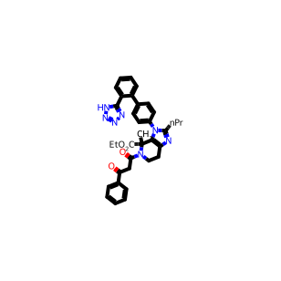 CCCc1nc2c(n1-c1ccc(-c3ccccc3-c3nnn[nH]3)cc1)C(C)(C(=O)OCC)N(C(=O)CC(=O)c1ccccc1)CC2